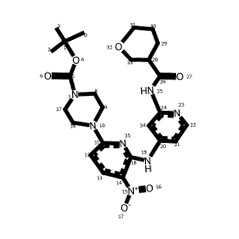 CC(C)(C)OC(=O)N1CCN(c2ccc([N+](=O)[O-])c(Nc3ccnc(NC(=O)C4CCCOC4)c3)n2)CC1